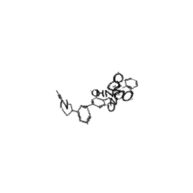 CC#CN1CCC(c2cccc(-c3cc(OC)c4c(NS(=O)(=O)c5c(OC)cccc5OC)noc4c3)c2)C1